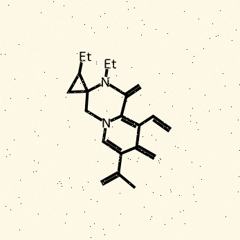 C=CC1=C2C(=C)N(CC)C3(CC3CC)CN2C=C(C(=C)C)C1=C